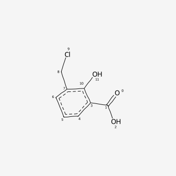 O=C(O)c1cccc(CCl)c1O